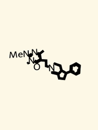 CNc1nc(C)c(CCN2C=C3CCC(c4ccccc4)C3CC2)c(=O)n1C